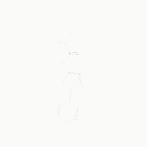 CCNC(=O)Nc1cn(-c2cccnc2)nc1Cl